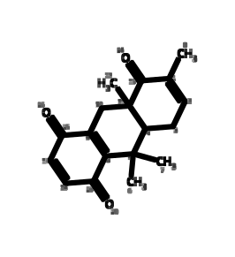 CC1=CCC2C(C)(C)C3=C(CC2(C)C1=O)C(=O)C=CC3=O